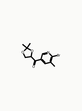 Cc1cc(C(=O)C2COC(C)(C)O2)cnc1Br